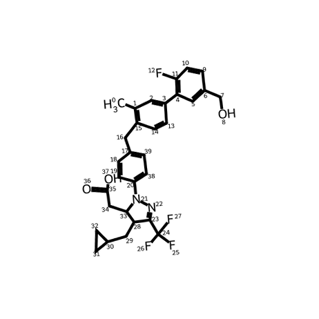 Cc1cc(-c2cc(CO)ccc2F)ccc1Cc1ccc(N2N=C(C(F)(F)F)C(CC3CC3)C2CC(=O)O)cc1